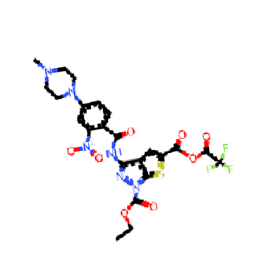 CCOC(=O)n1nc(NC(=O)c2ccc(N3CCN(C)CC3)cc2[N+](=O)[O-])c2cc(C(=O)OC(=O)C(F)(F)F)sc21